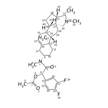 CC(=O)OC(C(=O)N(C)[C@H]1CC[C@@]2(C)C(=CC[C@H]3[C@@H]4CC[C@@H]5[C@H](C)N(C)C[C@@]54CC[C@@H]32)C1)c1ccc(F)c(F)c1